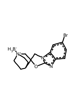 [BH3-][N+]12CCC(CC1)C1(Cn3c(nc4ccc(Br)cc43)O1)C2